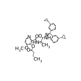 CCCC(=O)Oc1c(OC)ccnc1C(=O)N[C@@H](C)C(=O)NN=C(c1cccc(C2CC2)c1)c1cccc(C2CC2)c1